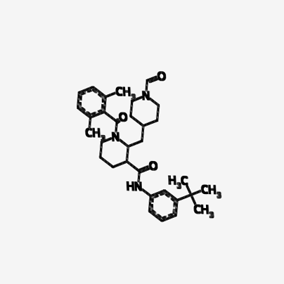 Cc1cccc(C)c1C(=O)N1CCCC(C(=O)Nc2cccc(C(C)(C)C)c2)C1CC1CCN(C=O)CC1